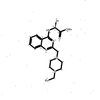 CCC(C)CN1CCN(Cc2nc(N[C@H](C(=O)OC)C(C)C)c3ccccc3n2)CC1